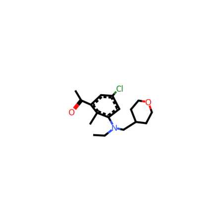 CCN(CC1CCOCC1)c1cc(Cl)cc(C(C)=O)c1C